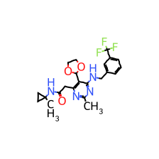 Cc1nc(CC(=O)NC2(C)CC2)c(C2OCCO2)c(NCc2cccc(C(F)(F)F)c2)n1